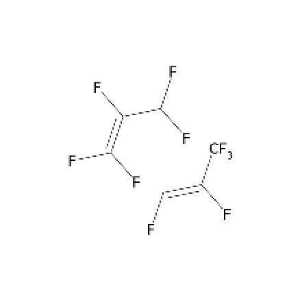 FC(F)=C(F)C(F)F.FC=C(F)C(F)(F)F